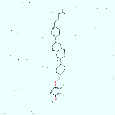 CCOc1ccc(OCC2CCC(C3CCC4CC(c5ccc(CCCC(C)C)cc5)CCC4C3)CC2)c(F)c1F